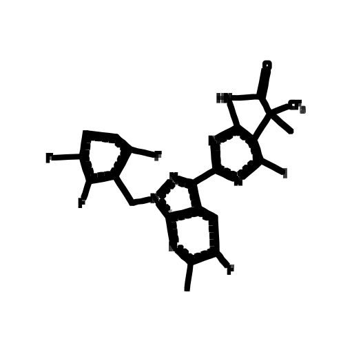 Cc1nc2c(cc1F)c(-c1nc(I)c3c(n1)NC(=O)C3(C)C(F)(F)F)nn2Cc1c(F)ccc(F)c1F